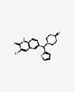 CCc1cc2cc(C(c3cccs3)N3CCC(=O)CC3)ccc2[nH]c1=O